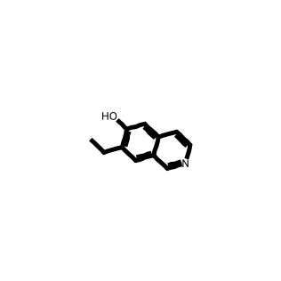 CCc1cc2cnccc2cc1O